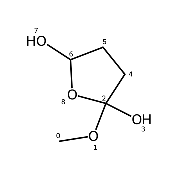 COC1(O)CCC(O)O1